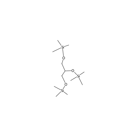 C[Si](C)(C)OCC(CO[Si](C)(C)C)O[Si](C)(C)C